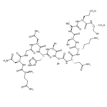 CC[C@H](C)[C@H](NC(=O)[C@H](CS)NC(=O)[C@H](CCCCN)NC(=O)[C@H](CCC(N)=O)NC(=O)[C@@H](NC(=O)[C@@H](NC(=O)[C@H](Cc1c[nH]cn1)NC(=O)[C@H](CC(N)=O)NC(=O)CNC(=O)[C@H](CC(N)=O)NC(=O)[C@@H](N)CCC(N)=O)C(C)C)C(C)C)C(=O)N[C@@H](CCC(=O)O)C(=O)N[C@@H](CS)C(=O)O